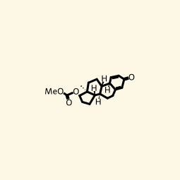 COC(=O)O[C@H]1CC[C@H]2[C@@H]3CCC4=CC(=O)C=C[C@@H]4[C@H]3CC[C@]12C